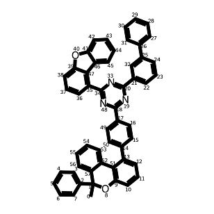 CC1(c2ccccc2)Oc2cccc(-c3ccc(-c4nc(-c5cccc(-c6ccccc6)c5)nc(-c5cccc6oc7ccccc7c56)n4)cc3)c2-c2ccccc21